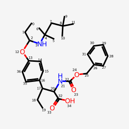 CCC(NC(C)(C)CC(C)(C)C)Oc1ccc(C(CC)C(NC(=O)OCc2ccccc2)C(=O)O)cc1